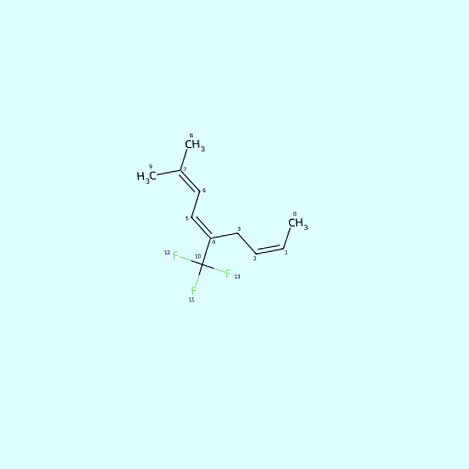 C/C=C\C/C(=C\C=C(C)C)C(F)(F)F